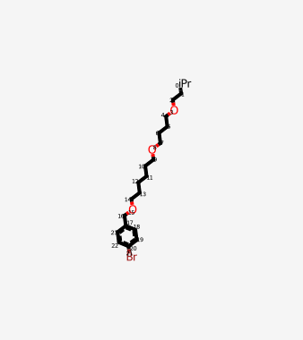 CC(C)CCOCCCCOCCCCCCOCc1ccc(Br)cc1